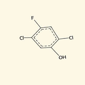 Oc1cc(Cl)c(F)cc1Cl